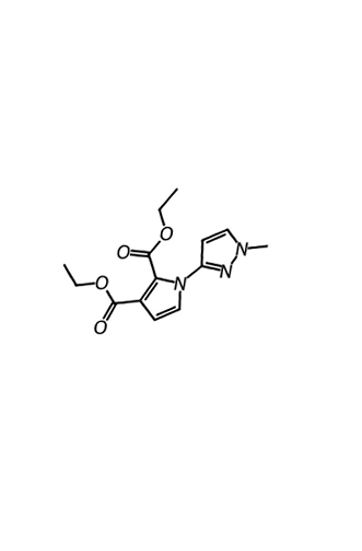 CCOC(=O)c1ccn(-c2ccn(C)n2)c1C(=O)OCC